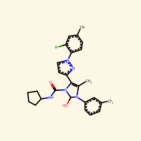 CC1=C(c2ccn(-c3ccc(C#N)cc3Br)n2)N(C(=O)NC2CCCC2)C(O)N1c1cccc(C(F)(F)F)c1